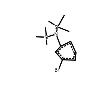 C[Si](C)(C)N(c1cccc(Br)c1)[Si](C)(C)C